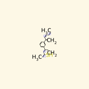 C=C/C(=C\C(S)=C/C)c1cccc(C(=C)/C=C\C=C/C)c1